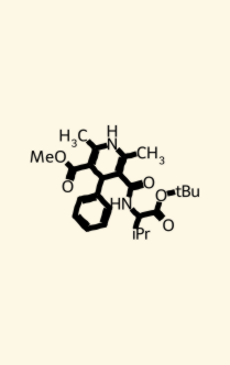 COC(=O)C1=C(C)NC(C)=C(C(=O)NC(C(=O)OC(C)(C)C)C(C)C)C1c1ccccc1